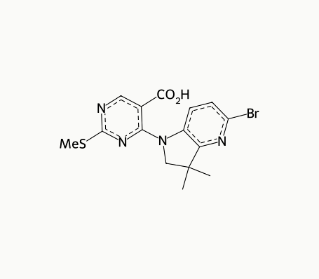 CSc1ncc(C(=O)O)c(N2CC(C)(C)c3nc(Br)ccc32)n1